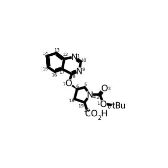 CC(C)(C)OC(=O)N1C[C@H](Oc2ncnc3ccccc23)CC1C(=O)O